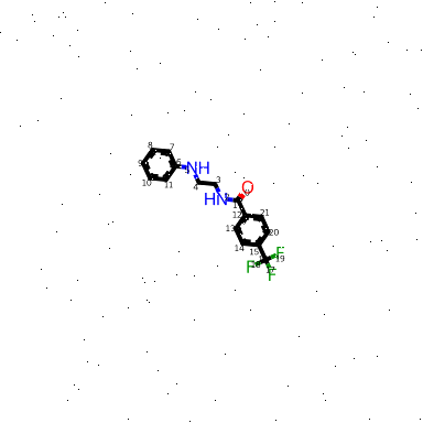 O=C(NCCNc1ccccc1)c1ccc(C(F)(F)F)cc1